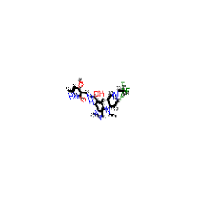 CCN(c1c(C)c(C(O)NCc2c(OC)cc(C)[nH]c2=O)cc2c1cnn2C)C1CCN(CC(F)(F)F)CC1